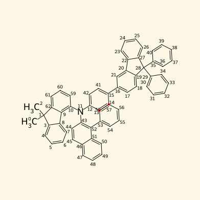 CC1(C)c2ccccc2-c2c(N(c3ccc(-c4ccc5c(c4)-c4ccccc4C5(c4ccccc4)c4ccccc4)cc3)c3ccc4ccccc4c3-c3ccccc3)cccc21